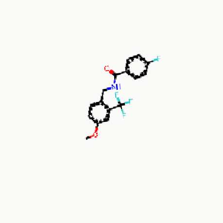 COc1ccc(CNC(=O)c2ccc(F)cc2)c(C(F)(F)F)c1